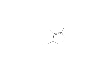 [2H]C1=C([2H])C(C=O)OO1